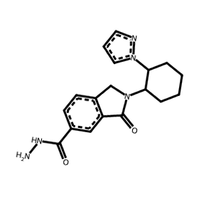 NNC(=O)c1ccc2c(c1)C(=O)N(C1CCCCC1n1cccn1)C2